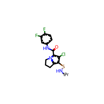 CC(C)NSc1c(Cl)c(C(=O)Nc2ccc(F)c(F)c2)n2c1CCC2